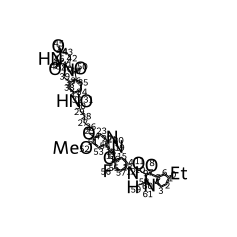 CCc1ccc2c(c1)c(=O)c(C(=O)Nc1ccc(Oc3ncnc4cc(OCCCCC(=O)Nc5ccc6c(c5)CN(C5CCC(=O)NC5=O)C6=O)c(OC)cc34)c(F)c1)c(C)n2C